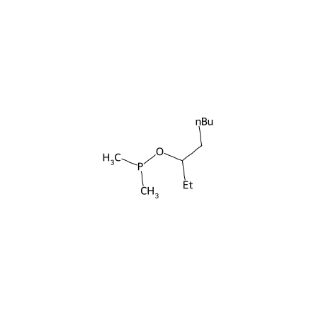 CCCCCC(CC)OP(C)C